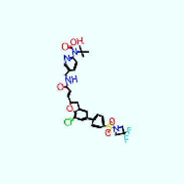 CC(C)(C)N(C(=O)O)c1ccc(CNC(=O)C=CC2Cc3cc(-c4ccc(S(=O)(=O)N5CC(F)(F)C5)cc4)cc(Cl)c3O2)cn1